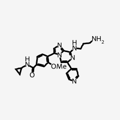 COc1cc(C(=O)NC2CC2)ccc1-c1cnc2c(NCCCN)nc(-c3ccncc3)cn12